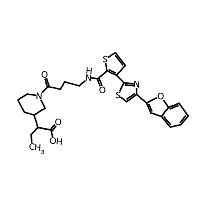 CCC(C(=O)O)C1CCCN(C(=O)CCCNC(=O)c2sccc2-c2nc(-c3cc4ccccc4o3)cs2)C1